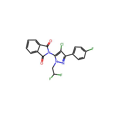 O=C1c2ccccc2C(=O)N1c1c(Cl)c(-c2ccc(F)cc2)nn1CC(F)F